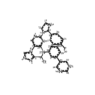 CCC1c2nncn2-c2cnc(-n3ccnc3-c3ccc(F)cc3)nc2N1c1cccc(-c2cncnc2)c1